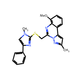 COc1cccc2c1nc(CSc1nc(-c3ccccc3)cn1C)n1nc(C)cc21